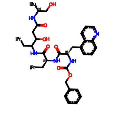 CCC(C)[C@@H](CO)NC(=O)CC(O)C(CC(C)C)NC(=O)[C@H](CC(C)C)NC(=O)[C@H](Cc1cccc2ncccc12)NC(=O)OCc1ccccc1